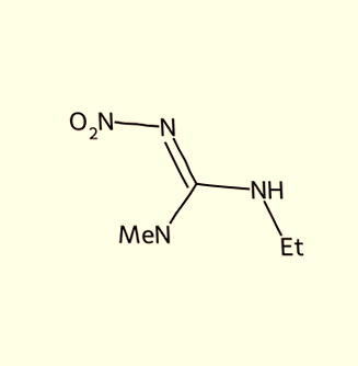 CCN/C(=N/[N+](=O)[O-])NC